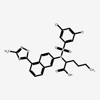 CCCCC(C(=O)O)N(c1ccc2c(-c3nc(C)no3)cccc2c1)S(=O)(=O)c1cc(Cl)cc(Cl)c1